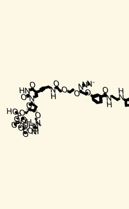 [N-]=[N+]=NCO[C@@H]1C[C@H](n2cc(C#CCNC(=O)COCCOC(COc3cccc(C(=O)NCCNC4CCC4)c3)N=[N+]=[N-])c(=O)[nH]c2=O)O[C@@H]1COP(=O)(O)OP(=O)(O)OP(=O)(O)O